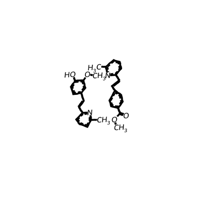 COC(=O)c1ccc(C=Cc2cccc(C)n2)cc1.COc1cc(C=Cc2cccc(C)n2)ccc1O